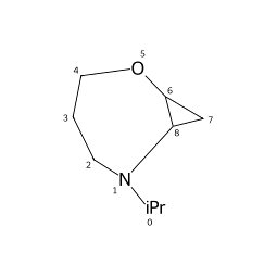 CC(C)N1CCCOC2CC21